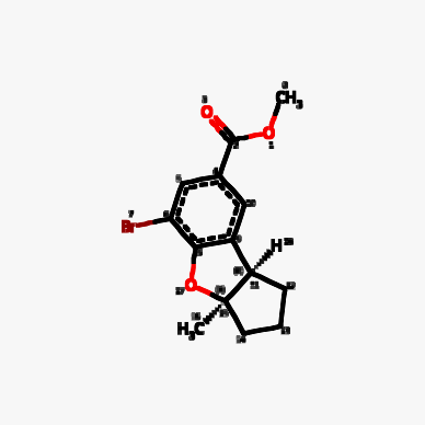 COC(=O)c1cc(Br)c2c(c1)[C@H]1CCC[C@@]1(C)O2